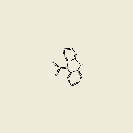 O=S(=O)=S1c2ccccc2Nc2ccccc21